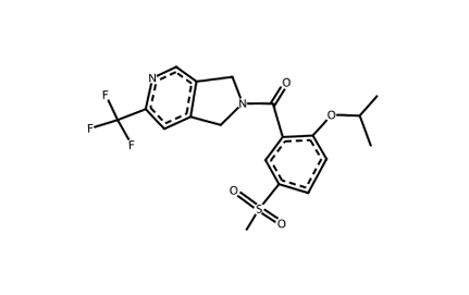 CC(C)Oc1ccc(S(C)(=O)=O)cc1C(=O)N1Cc2cnc(C(F)(F)F)cc2C1